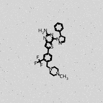 CN1CCN(Cc2ccc(-c3cc4nc(N)nc(N5N=CCC5c5ccccc5)c4s3)cc2C(F)(F)F)CC1